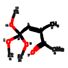 CCO[Si](C=C(C)C(=O)OC)(OCC)OCC